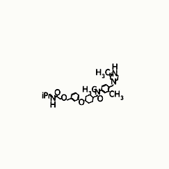 Cc1cc(N(C)C(=O)C2CCC(Oc3cccc(COCC(=O)NC(C)C)c3)CC2)ccc1CN1CCN[C@@H](C)C1